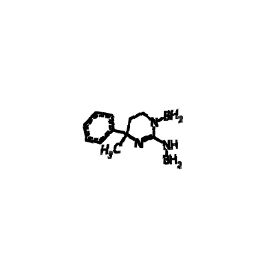 BNC1=NC(C)(c2ccccc2)CCN1B